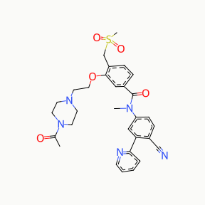 CC(=O)N1CCN(CCOc2cc(C(=O)N(C)c3ccc(C#N)c(-c4ccccn4)c3)ccc2CS(C)(=O)=O)CC1